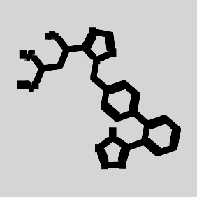 CCCC(CC(C)C(=O)O)c1ncnn1Cc1ccc(-c2ccccc2-c2nnn[nH]2)cc1